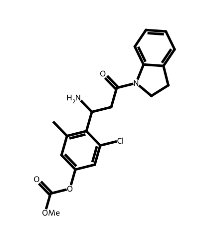 COC(=O)Oc1cc(C)c(C(N)CC(=O)N2CCc3ccccc32)c(Cl)c1